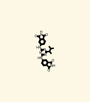 CC(C)C(C)c1nc(Nc2ccc3c(c2)C(=O)NC3=O)nc(Nc2ccc3c(c2)C(=O)NC3=O)n1